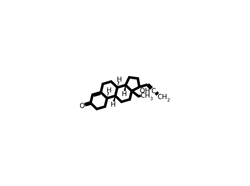 C=C=C[C@]1(O)CC[C@H]2[C@@H]3CCC4=CC(=O)CC[C@@H]4[C@H]3CCC21CC